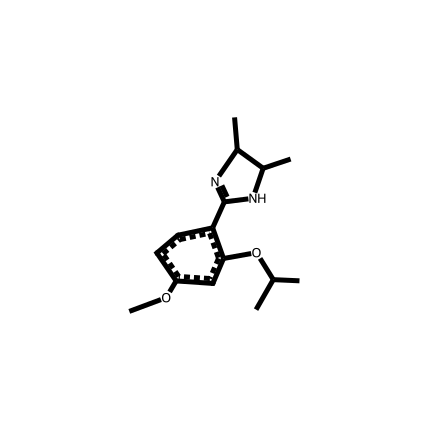 COc1ccc(C2=NC(C)C(C)N2)c(OC(C)C)c1